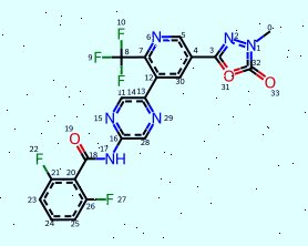 Cn1nc(-c2cnc(C(F)(F)F)c(-c3cnc(NC(=O)c4c(F)cccc4F)cn3)c2)oc1=O